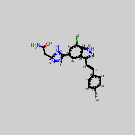 NC(=O)Cc1nnc(-c2cc(F)c3[nH]nc(C=Cc4ccc(F)cc4)c3c2)[nH]1